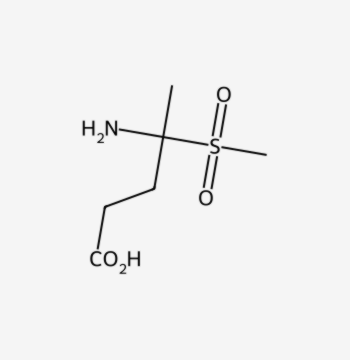 CC(N)(CCC(=O)O)S(C)(=O)=O